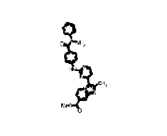 COC(=O)c1ccn2c(-c3ccnc(Nc4ccc(C(=O)N(N)c5ccccc5)cc4)n3)c(C)nc2c1